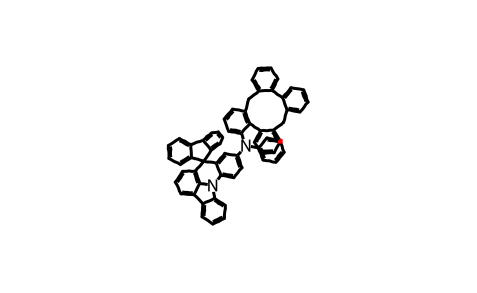 c1ccc(N(c2ccc3c(c2)C2(c4ccccc4-c4ccccc42)c2cccc4c5ccccc5n-3c24)c2cccc3c2-c2ccccc2Cc2ccccc2-c2ccccc2C3)cc1